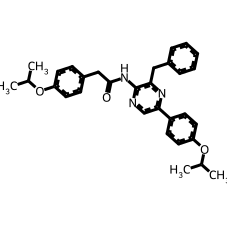 CC(C)Oc1ccc(CC(=O)Nc2ncc(-c3ccc(OC(C)C)cc3)nc2Cc2ccccc2)cc1